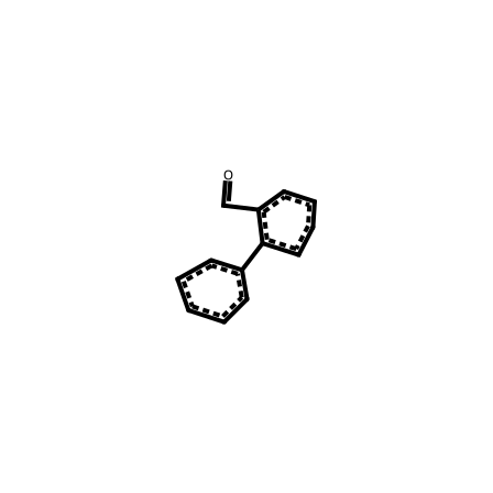 O=Cc1ccccc1-c1ccccc1